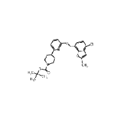 Cc1cc2c(Cl)ccc(COc3cccc(C4CCN(C(=O)OC(C)(C)C)CC4)n3)c2o1